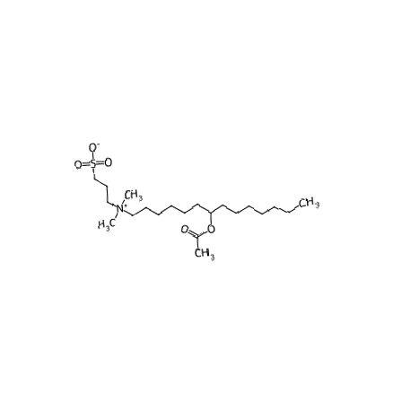 CCCCCCCC(CCCCCC[N+](C)(C)CCCS(=O)(=O)[O-])OC(C)=O